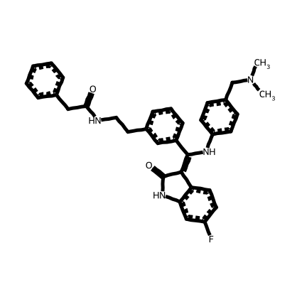 CN(C)Cc1ccc(NC(=C2C(=O)Nc3cc(F)ccc32)c2cccc(CCNC(=O)Cc3ccccc3)c2)cc1